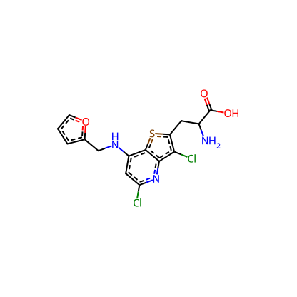 NC(Cc1sc2c(NCc3ccco3)cc(Cl)nc2c1Cl)C(=O)O